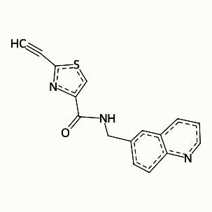 C#Cc1nc(C(=O)NCc2ccc3ncccc3c2)cs1